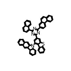 C1=CC2c3cc4ccccc4cc3N(c3cc(-c4nc(-c5ccc6c(ccc7ccccc76)c5)nc(-c5cccc6ccccc56)n4)cc4sc5ccccc5c34)C2C=C1